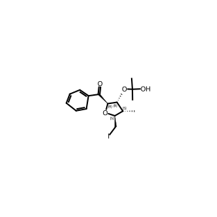 C[C@H]1[C@@H](OC(C)(C)O)[C@H](C(=O)c2ccccc2)O[C@@H]1CI